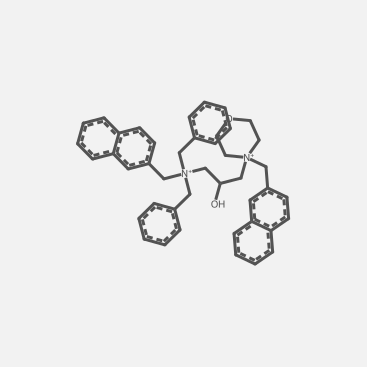 OC(C[N+]1(Cc2ccc3ccccc3c2)CCOCC1)C[N+](Cc1ccccc1)(Cc1ccccc1)Cc1ccc2ccccc2c1